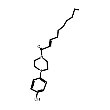 CCCCCCCC=CC(=O)N1CCN(c2ccc(O)cc2)CC1